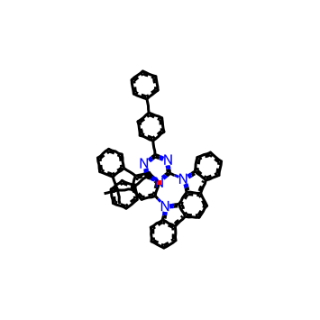 CC1(C)c2ccccc2-c2ccc(-n3c4ccccc4c4ccc5c6ccccc6n(-c6nc(-c7ccccc7)nc(-c7ccc(-c8ccccc8)cc7)n6)c5c43)cc21